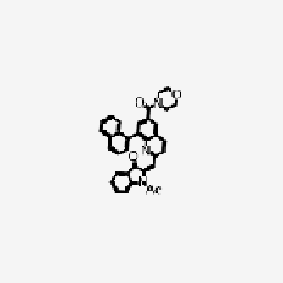 CC(=O)N1C(=Cc2ccc3cc(C(=O)N4CCOCC4)cc(-c4cccc5ccccc45)c3n2)C(=O)c2ccccc21